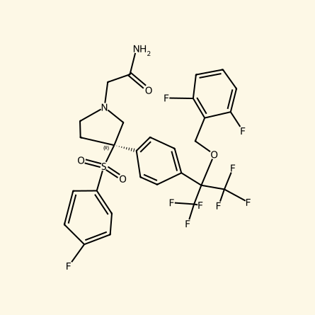 NC(=O)CN1CC[C@](c2ccc(C(OCc3c(F)cccc3F)(C(F)(F)F)C(F)(F)F)cc2)(S(=O)(=O)c2ccc(F)cc2)C1